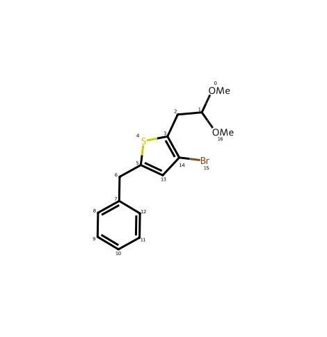 COC(Cc1sc(Cc2ccccc2)cc1Br)OC